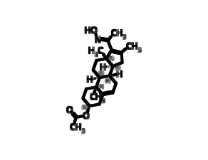 CC(=O)O[C@H]1CC[C@@]2(C)C(=CC[C@@H]3[C@@H]2CC[C@]2(C)C(C(C)=NO)=C(C)C[C@@H]32)C1